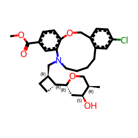 COC(=O)c1ccc2c(c1)N(C[C@@H]1CC[C@H]1[C@H]1C[C@H](O)[C@H](C)CO1)CCCCc1cc(Cl)ccc1CO2